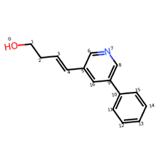 OCCC=Cc1cncc(-c2ccccc2)c1